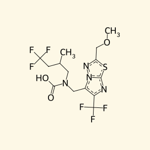 COCc1nn2c(CN(CC(C)CC(F)(F)F)C(=O)O)c(C(F)(F)F)nc2s1